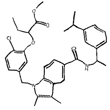 CCC(Oc1cc(Cn2c(C)c(C)c3cc(C(=O)NC(C)c4cccc(C(C)C)c4)ccc32)ccc1Cl)C(=O)OC